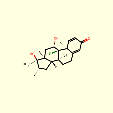 C[C@H]1C[C@H]2[C@@H]3CCC4=CC(=O)C=C[C@]4(C)[C@@]3(Br)[C@@H](O)C[C@]2(C)[C@@]1(O)C(=O)O